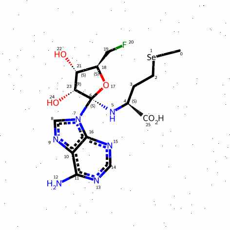 C[Se]CC[C@H](N[C@@]1(n2cnc3c(N)ncnc32)O[C@H](CF)[C@@H](O)[C@H]1O)C(=O)O